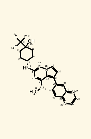 COc1nc(N[C@H]2CC[C@@](O)(C(F)(F)F)CC2)nn2ccc(-c3ccc4nccnc4c3)c12